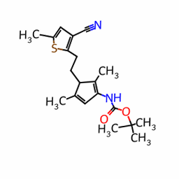 CC1=CC(NC(=O)OC(C)(C)C)=C(C)C1CCc1sc(C)cc1C#N